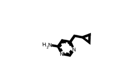 Nc1cc(CC2CC2)ncn1